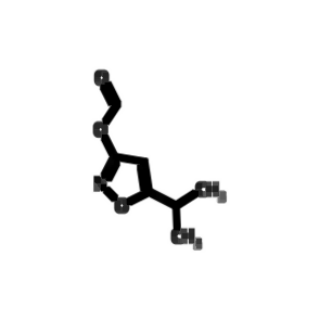 CC(C)c1cc(OC=O)no1